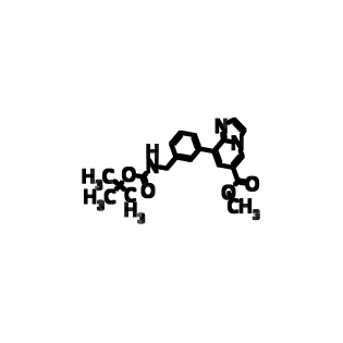 COC(=O)c1cc(-c2cccc(CNC(=O)OC(C)(C)C)c2)c2nccn2c1